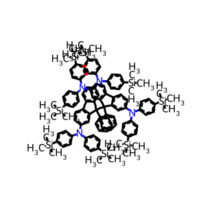 C[Si](C)(C)c1ccc(N(c2ccc([Si](C)(C)C)cc2)c2ccc3c(c2)C(c2ccccc2)(C2(c4ccccc4)c4cc(N(c5ccc([Si](C)(C)C)cc5)c5ccc([Si](C)(C)C)cc5)ccc4-c4ccc(N(c5ccc([Si](C)(C)C)cc5)c5ccc([Si](C)(C)C)cc5)cc42)c2cc(N(c4ccc([Si](C)(C)C)cc4)c4ccc([Si](C)(C)C)cc4)ccc2-3)cc1